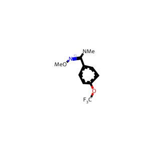 CN/C(=N/OC)c1ccc(OC(F)(F)F)cc1